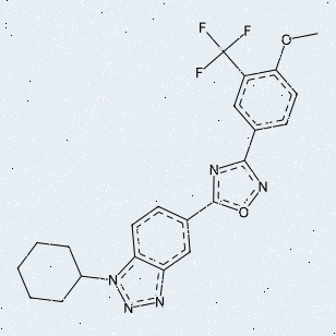 COc1ccc(-c2noc(-c3ccc4c(c3)nnn4C3CCCCC3)n2)cc1C(F)(F)F